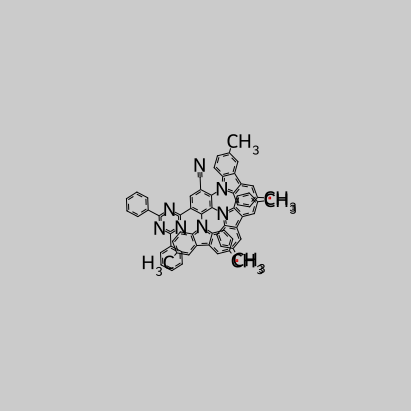 Cc1ccc2c(c1)c1cc(C)ccc1n2-c1c(C#N)cc(-c2nc(-c3ccccc3)nc(-c3ccccc3)n2)c(-n2c3ccc(C)cc3c3cc(C)ccc32)c1-n1c2ccc(C)cc2c2cc(C)ccc21